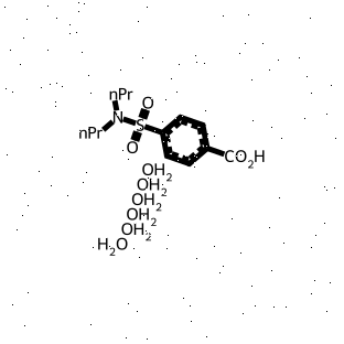 CCCN(CCC)S(=O)(=O)c1ccc(C(=O)O)cc1.O.O.O.O.O.O